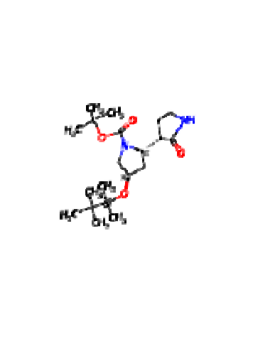 CC(C)(C)OC(=O)N1C[C@H](O[Si](C)(C)C(C)(C)C)C[C@H]1C1CCNC1=O